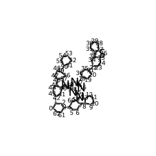 c1ccc(-c2ccc3c4ccccc4n(-c4nc(-c5ccc(-c6ccc7sc8ccccc8c7c6)cc5)nc(-n5c6ccccc6c6ccc(-c7ccccc7)cc65)n4)c3c2)cc1